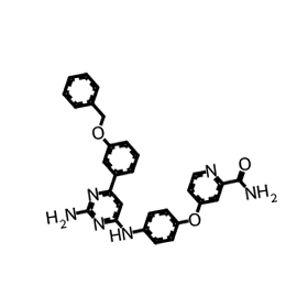 NC(=O)c1cc(Oc2ccc(Nc3cc(-c4cccc(OCc5ccccc5)c4)nc(N)n3)cc2)ccn1